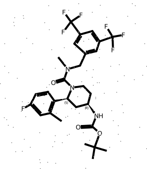 Cc1cc(F)ccc1[C@@H]1C[C@H](NC(=O)OC(C)(C)C)CCN1C(=O)N(C)Cc1cc(C(F)(F)F)cc(C(F)(F)F)c1